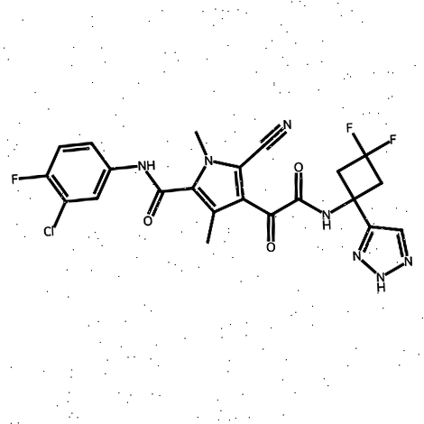 Cc1c(C(=O)C(=O)NC2(c3cn[nH]n3)CC(F)(F)C2)c(C#N)n(C)c1C(=O)Nc1ccc(F)c(Cl)c1